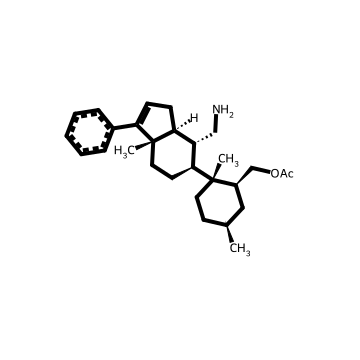 CC(=O)OC[C@H]1C[C@@H](C)CC[C@]1(C)[C@H]1CC[C@]2(C)C(c3ccccc3)=CC[C@H]2[C@@H]1CN